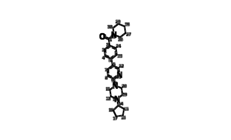 O=C(c1ccc(-c2ccc(N3CCN(C4CCCC4)CC3)nc2)cc1)N1CCCCC1